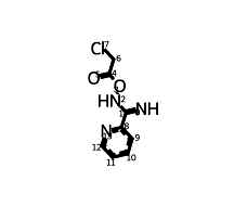 N=C(NOC(=O)CCl)c1ccccn1